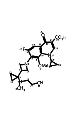 COc1c(N2CC(C3(N(C)CCC#N)CC3)C2)c(F)cc2c(=O)c(C(=O)O)cn(C3CC3)c12